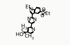 CCn1cc(-c2ncc(-c3cc(C(C)(C)O)ccn3)cn2)c2cc(S(=O)(=O)CC)ccc21